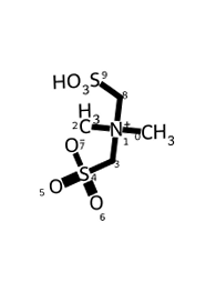 C[N+](C)(CS(=O)(=O)[O-])CS(=O)(=O)O